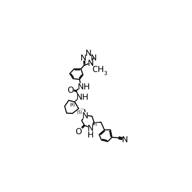 Cn1nnnc1-c1cccc(NC(=O)N[C@@H]2CCCC[C@H]2CN2CC(=O)N[C@H](Cc3cccc(C#N)c3)C2)c1